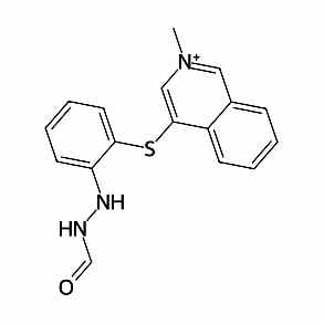 C[n+]1cc(Sc2ccccc2NNC=O)c2ccccc2c1